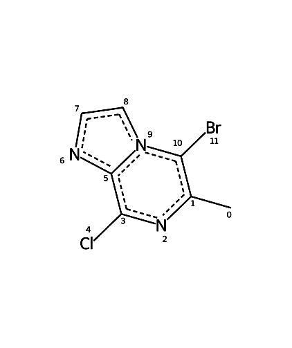 Cc1nc(Cl)c2nccn2c1Br